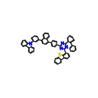 c1ccc(-c2ccccc2-c2nc(-c3ccc(-c4ccc(-c5cccc(-n6c7ccccc7c7ccccc76)c5)c5ccccc45)cc3)nc(-c3cccc4c3sc3ccccc34)n2)cc1